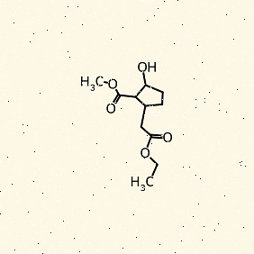 CCOC(=O)CC1CCC(O)C1C(=O)OC